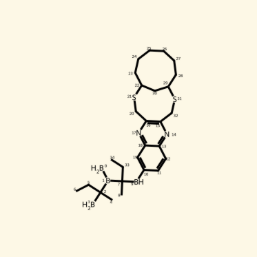 BB(C(B)(C)CC)C(C)(Bc1ccc2nc3c(nc2c1)CSC1CCCCCCC(C1)SC3)CC